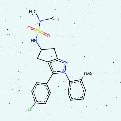 COc1ccccc1-n1nc2c(c1-c1ccc(Cl)cc1)CC(NS(=O)(=O)N(C)C)C2